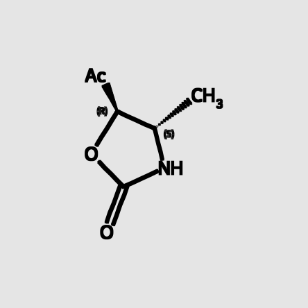 CC(=O)[C@@H]1OC(=O)N[C@H]1C